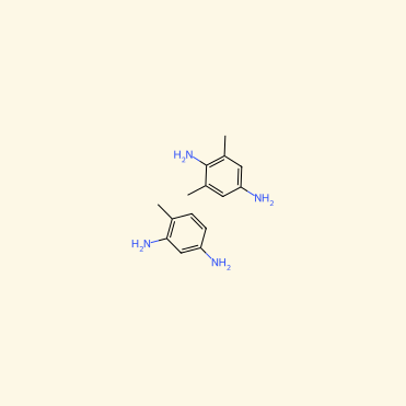 Cc1cc(N)cc(C)c1N.Cc1ccc(N)cc1N